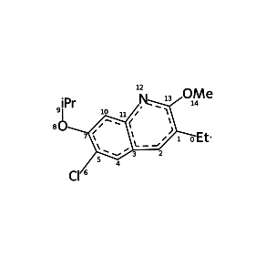 [CH2][CH]c1cc2cc(Cl)c(OC(C)C)cc2nc1OC